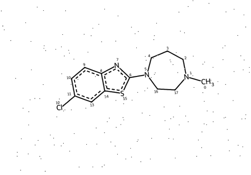 CN1CCCN(c2nc3ccc(Cl)cc3s2)CC1